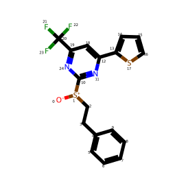 [O-][S+](CCc1ccccc1)c1nc(-c2cccs2)cc(C(F)(F)F)n1